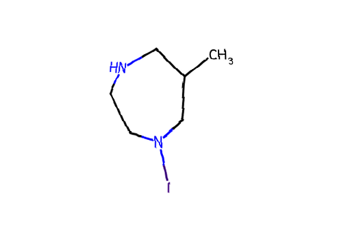 CC1CNCCN(I)C1